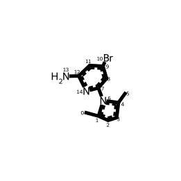 Cc1ccc(C)n1-c1cc(Br)cc(N)n1